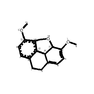 COC1=CC=C2CCc3ccc(OC)c4c3C2C1O4